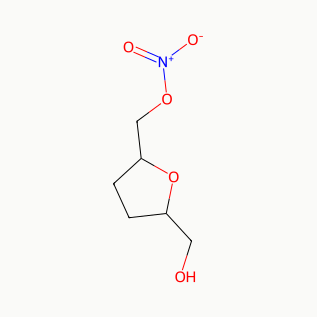 O=[N+]([O-])OCC1CCC(CO)O1